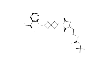 CC(C)(C)OC(=O)NCCC1NC(=O)N([C@H]2CC3(C[C@H](Oc4ncccc4C(N)=O)C3)C2)C1=O